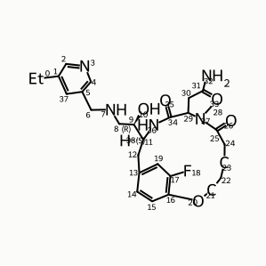 CCc1cncc(CNC[C@@H](O)[C@@H]2Cc3ccc(c(F)c3)OCCCCC(=O)N(C)C(CC(N)=O)C(=O)N2)c1